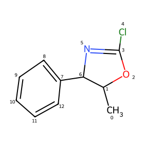 CC1OC(Cl)=NC1c1ccccc1